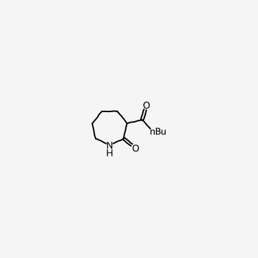 CCCCC(=O)C1CCCCNC1=O